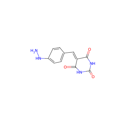 NNc1ccc(C=C2C(=O)NC(=O)NC2=O)cc1